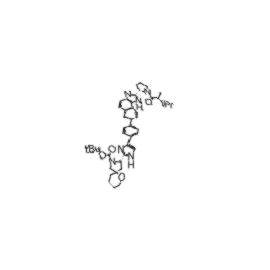 CC(C)[C@H](C)C(=O)N1CCC[C@H]1c1nc2ccc3cc(-c4ccc(-c5c[nH]c([C@@H]6C[C@@]7(CCCCO7)CN6C(=O)OC(C)(C)C)n5)cc4)ccc3c2[nH]1